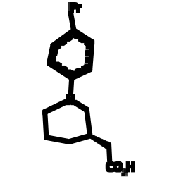 CC(C)c1ccc(N2CCC[C@H](CC(=O)O)C2)cc1